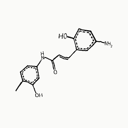 Cc1ccc(NC(=O)/C=C/c2cc(N)ccc2O)cc1O